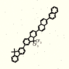 CC1(C)c2ccccc2-c2ccc(-c3ccc4c(c3)C(C(F)(F)F)(C(F)(F)F)C3C=C(C5=CC6C=CC(c7ccc8ccccc8c7)=CC6C=C5)C=CC43)cc21